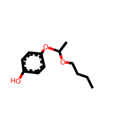 CCCCOC(C)Oc1ccc(O)cc1